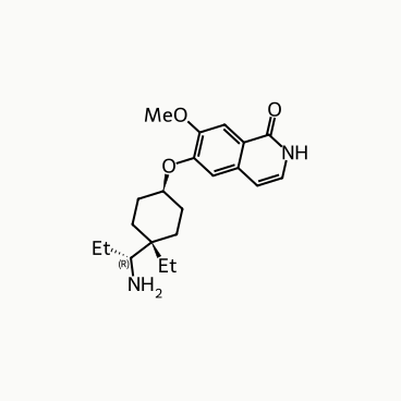 CC[C@@H](N)[C@]1(CC)CC[C@@H](Oc2cc3cc[nH]c(=O)c3cc2OC)CC1